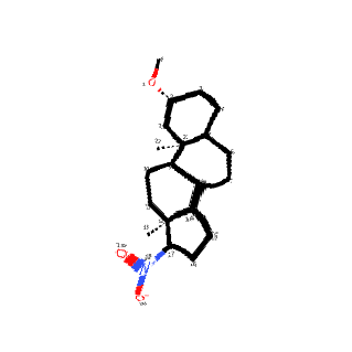 CO[C@@H]1CCC2CCC3C(CC[C@@]4(C)C3CCC4[N+](=O)[O-])[C@@]2(C)C1